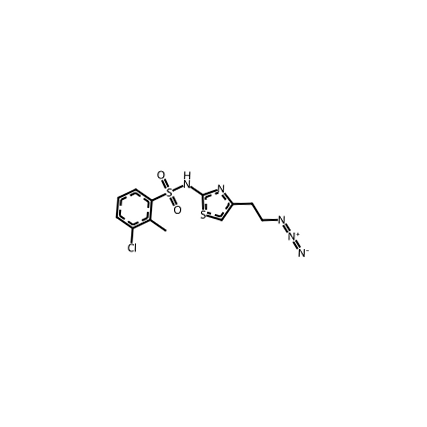 Cc1c(Cl)cccc1S(=O)(=O)Nc1nc(CCN=[N+]=[N-])cs1